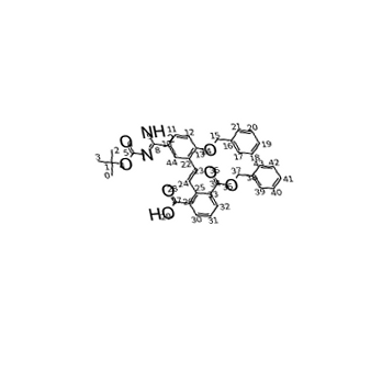 CC(C)(C)OC(=O)N=C(N)c1ccc(OCc2ccccc2)c(C=Cc2c(C(=O)O)cccc2C(=O)OCc2ccccc2)c1